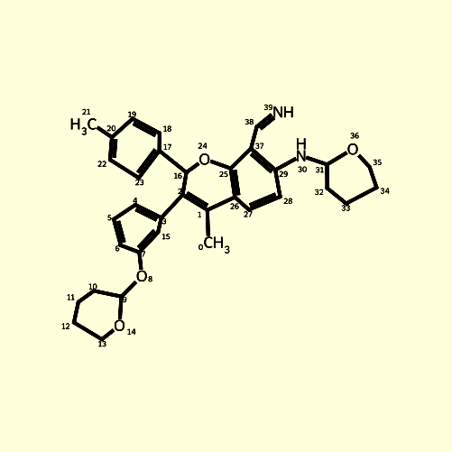 CC1=C(c2cccc(OC3CCCCO3)c2)C(c2ccc(C)cc2)Oc2c1ccc(NC1CCCCO1)c2C=N